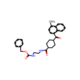 COc1ccc(C(=O)C2CCC(C(=O)NCCNC(=O)OCc3ccccc3)CC2)c2ccccc12